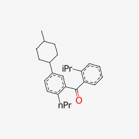 CCCc1ccc(C2CCC(C)CC2)cc1C(=O)c1ccccc1C(C)C